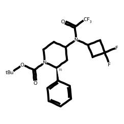 CC(C)(C)OC(=O)N1CCC(N(C(=O)C(F)(F)F)C2CC(F)(F)C2)C[C@H]1c1ccccc1